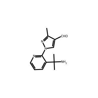 Cc1nn(-c2ncccc2C(C)(C)N)cc1C=O